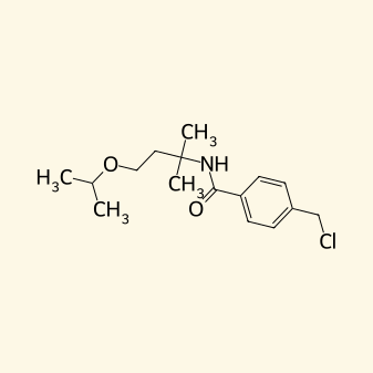 CC(C)OCCC(C)(C)NC(=O)c1ccc(CCl)cc1